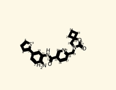 Nc1ccc(-c2cccs2)cc1NC(=O)c1ccc(CN2CC3(CCC3)OC2=O)nc1